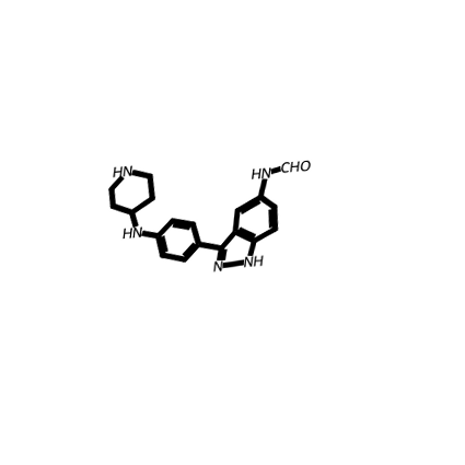 O=CNc1ccc2[nH]nc(-c3ccc(NC4CCNCC4)cc3)c2c1